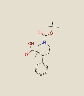 CC(C)(C)OC(=O)N1CCC(c2ccccc2)C(C)(C(=O)O)C1